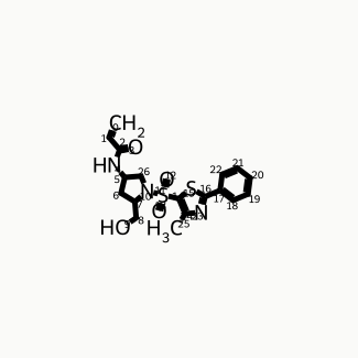 C=CC(=O)NC1CC(CO)N(S(=O)(=O)c2sc(-c3ccccc3)nc2C)C1